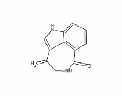 C=C1CNC(=O)c2cccc3[nH]cc1c23